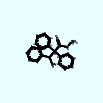 CCCC(c1ccccc1)C(C(=O)O[SiH3])(c1ccccc1)c1ccccc1